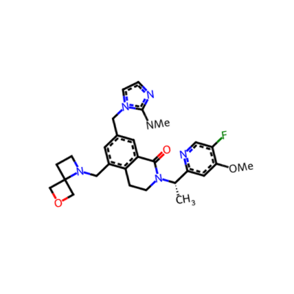 CNc1nccn1Cc1cc(CN2CCC23COC3)c2c(c1)C(=O)N([C@@H](C)c1cc(OC)c(F)cn1)CC2